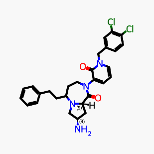 N[C@@H]1C[C@H]2C(=O)N(c3cccn(Cc4ccc(Cl)c(Cl)c4)c3=O)CCC(CCc3ccccc3)N2C1